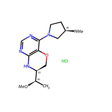 CN[C@@H]1CCN(c2ncnc3c2OC[C@@H]([C@@H](C)OC)N3)C1.Cl